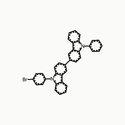 Brc1ccc(-n2c3ccccc3c3cc(-c4ccc5c(c4)c4ccccc4n5-c4ccccc4)ccc32)cc1